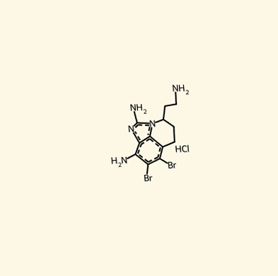 Cl.NCCC1CCc2c(Br)c(Br)c(N)c3nc(N)n1c23